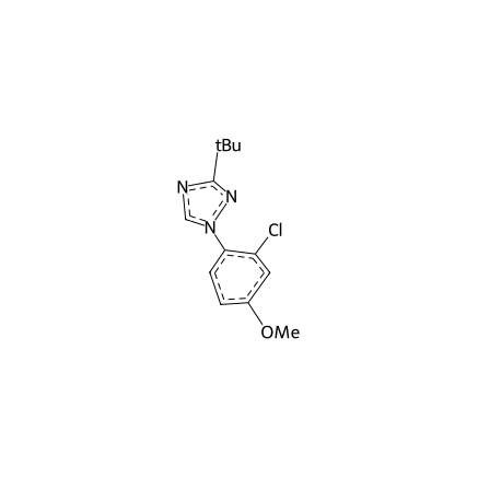 COc1ccc(-n2cnc(C(C)(C)C)n2)c(Cl)c1